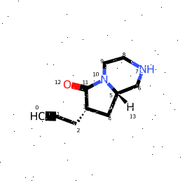 C#CC[C@H]1C[C@H]2CNCCN2C1=O